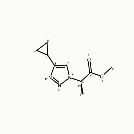 COC(=O)[C@@H](C)n1cc(C2CC2)nn1